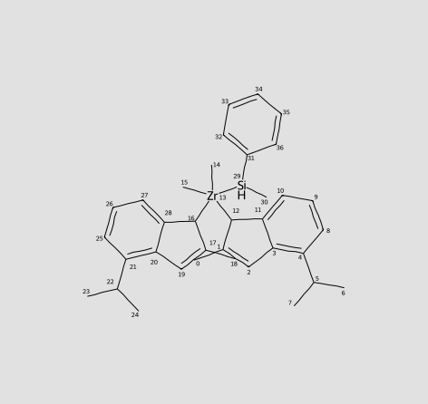 CC1=Cc2c(C(C)C)cccc2[CH]1[Zr]([CH3])([CH3])([CH]1C(C)=Cc2c(C(C)C)cccc21)[SiH](C)c1ccccc1